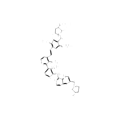 COc1cc(/C=C/c2ccnc(-c3cccc(Nc4nccc5cc(CN6CC[C@@H](O)C6)cnc45)c3C)c2C#N)c(C(F)(F)F)cc1CN1CC[C@@H](C(=O)O)C1